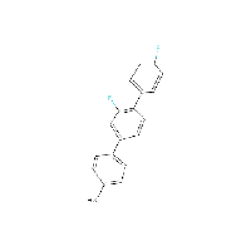 Cc1ccc(-c2ccc(-c3ccc(F)cc3)c(F)c2)cc1